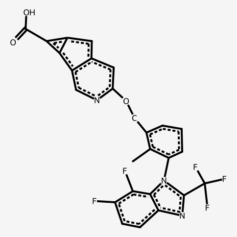 Cc1c(COc2cc3cc4c(C(=O)O)c-4c3cn2)cccc1-n1c(C(F)(F)F)nc2ccc(F)c(F)c21